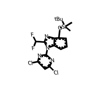 CC(C)(C)[Si](C)(C)Oc1cccc2c1nc(C(F)F)n2-c1nc(Cl)cc(Cl)n1